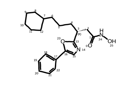 O=C(C[C@@H](CCCC1CCCCC1)c1ncc(-c2ccccc2)o1)NO